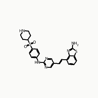 Nc1nc2c(/C=C/c3cnc(Nc4ccc(S(=O)(=O)C5CCNCC5)cc4)nc3)cccc2s1